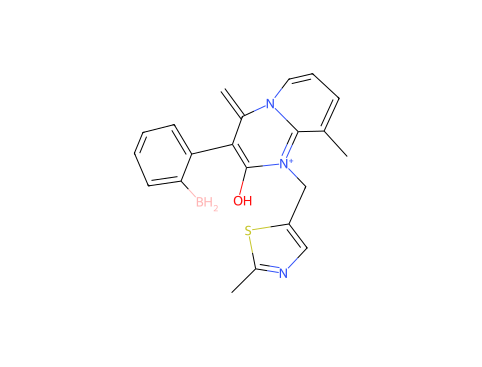 Bc1ccccc1C1=C(O)[N+](Cc2cnc(C)s2)=C2C(C)=CC=CN2C1=C